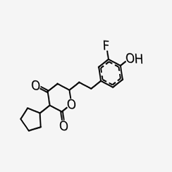 O=C1CC(CCc2ccc(O)c(F)c2)OC(=O)C1C1CCCC1